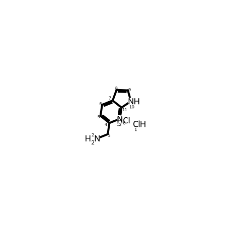 Cl.Cl.NCc1ccc2cc[nH]c2n1